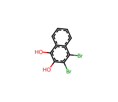 Oc1c(Br)c(Br)c2ccccc2c1O